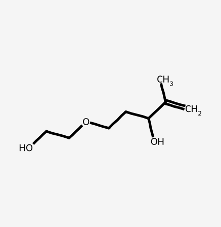 C=C(C)C(O)CCOCCO